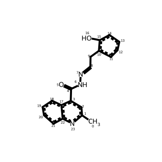 Cc1cc(C(=O)NN=CCc2ccccc2O)c2ccccc2n1